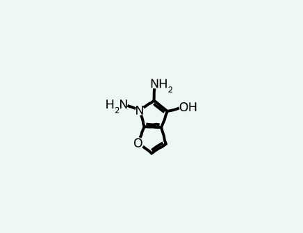 Nc1c(O)c2ccoc2n1N